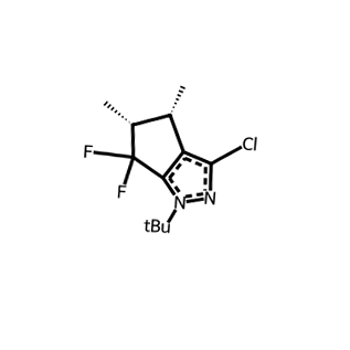 C[C@@H]1c2c(Cl)nn(C(C)(C)C)c2C(F)(F)[C@@H]1C